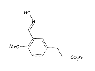 CCOC(=O)CCc1ccc(OC)c(C=NO)c1